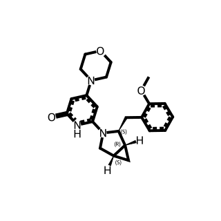 COc1ccccc1C[C@H]1[C@@H]2C[C@@H]2CN1c1cc(N2CCOCC2)cc(=O)[nH]1